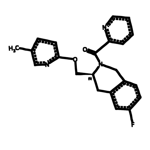 Cc1ccc(OC[C@@H]2Cc3cc(F)ccc3CN2C(=O)c2ccccn2)nc1